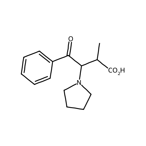 CC(C(=O)O)C(C(=O)c1ccccc1)N1CCCC1